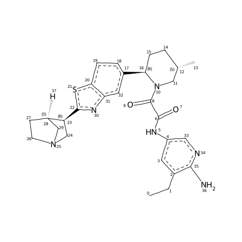 CCc1cc(NC(=O)C(=O)N2C[C@@H](C)CC[C@@H]2c2ccc3sc([C@H]4CN5CC[C@@H]4C5)nc3c2)cnc1N